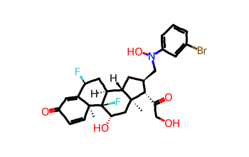 C[C@]12C[C@H](O)[C@@]3(F)[C@@H](C[C@H](F)C4=CC(=O)C=C[C@@]43C)[C@@H]1C[C@@H](CN(O)c1cccc(Br)c1)[C@@H]2C(=O)CO